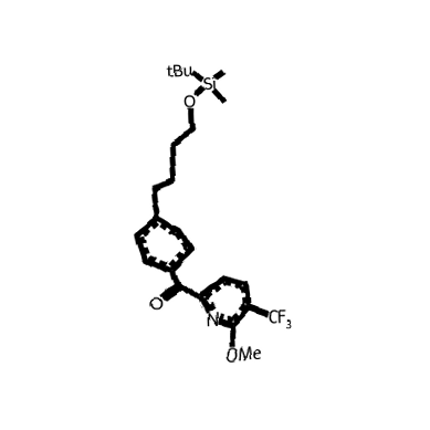 COc1nc(C(=O)c2ccc(CCCCO[Si](C)(C)C(C)(C)C)cc2)ccc1C(F)(F)F